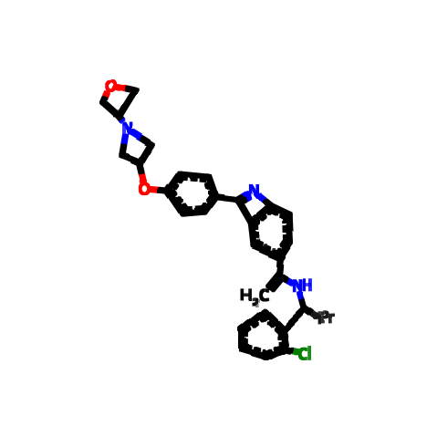 C=C(NC(c1ccccc1Cl)C(C)C)c1ccc2c(c1)C(c1ccc(OC3CN(C4COC4)C3)cc1)=N2